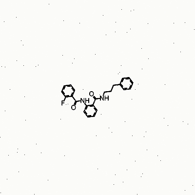 O=C(Nc1ccccc1C(=O)NCCCc1ccccc1)c1ccccc1F